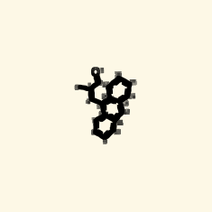 CC(C=O)=Cc1c2ccccc2cc2ccccc12